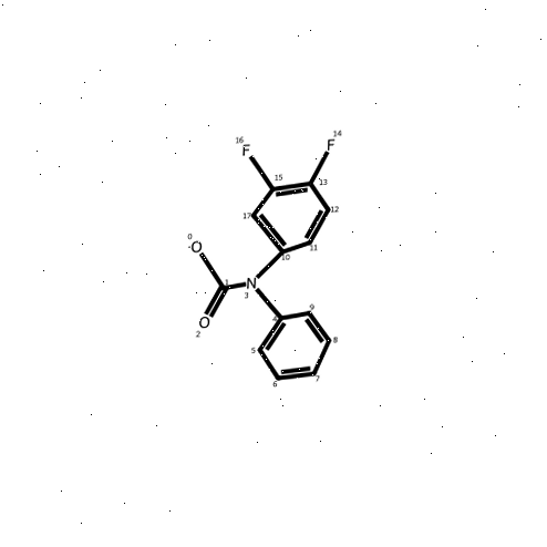 [O]C(=O)N(c1ccccc1)c1ccc(F)c(F)c1